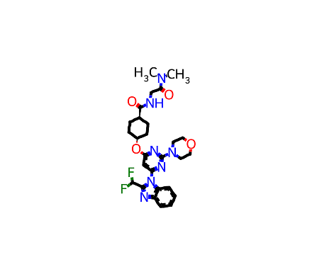 CN(C)C(=O)CNC(=O)[C@H]1CC[C@H](Oc2cc(-n3c(C(F)F)nc4ccccc43)nc(N3CCOCC3)n2)CC1